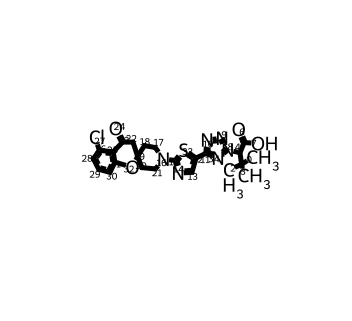 CC(C)(C)C(C(=O)O)n1nnc(-c2cnc(N3CCC4(CC3)CC(=O)c3c(Cl)cccc3O4)s2)n1